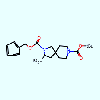 CC(C)(C)OC(=O)N1CCC2(CC1)CC(C(=O)O)N(C(=O)OCc1ccccc1)C2